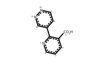 O=C(O)c1cccnc1-c1ccnnc1